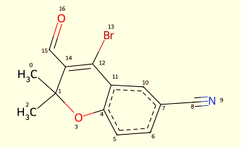 CC1(C)Oc2ccc(C#N)cc2C(Br)=C1C=O